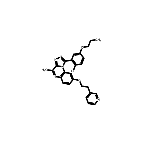 CCCOc1ccc(Cl)c(-c2nnc3c(C)nc4ccc(OCCc5cccnc5)cc4n23)c1